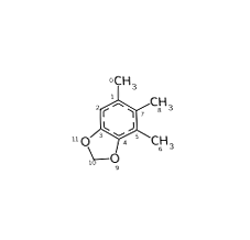 Cc1cc2c(c(C)c1C)OCO2